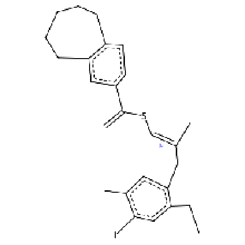 C=C(S/C=C(\C)Cc1cc(C)c(I)cc1CC)c1ccc2c(c1)CCCCC2